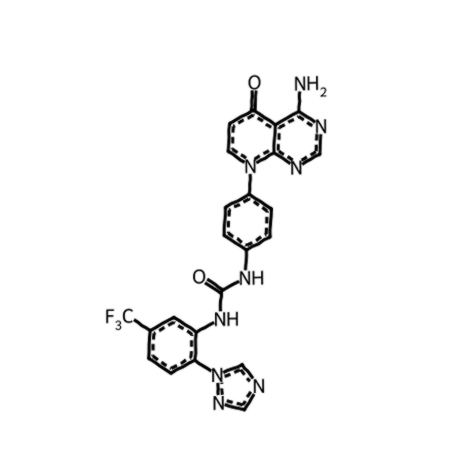 Nc1ncnc2c1c(=O)ccn2-c1ccc(NC(=O)Nc2cc(C(F)(F)F)ccc2-n2cncn2)cc1